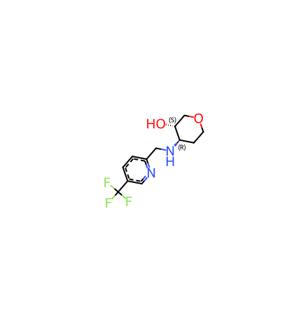 O[C@@H]1COCC[C@H]1NCc1ccc(C(F)(F)F)cn1